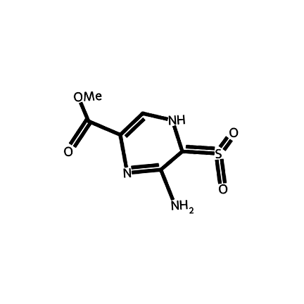 COC(=O)c1c[nH]c(=S(=O)=O)c(N)n1